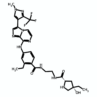 CCc1cc(Nc2nccn3c(-c4cn(C)nc4C(F)(F)F)cnc23)ccc1C(=O)NCCNC(=O)[C@@H]1C[C@@](O)(CC)CN1